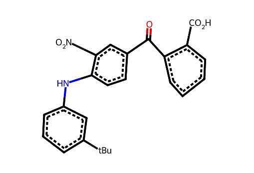 CC(C)(C)c1cccc(Nc2ccc(C(=O)c3ccccc3C(=O)O)cc2[N+](=O)[O-])c1